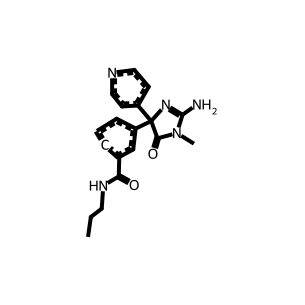 CCCNC(=O)c1cccc(C2(c3ccncc3)N=C(N)N(C)C2=O)c1